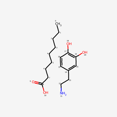 CCCCCCCCC(=O)O.NCCc1ccc(O)c(O)c1